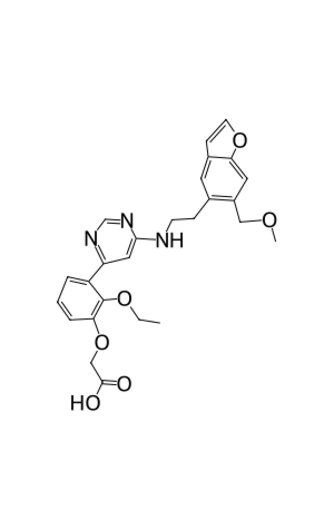 CCOc1c(OCC(=O)O)cccc1-c1cc(NCCc2cc3ccoc3cc2COC)ncn1